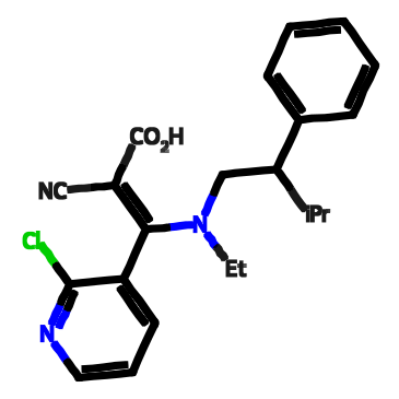 CCN(CC(c1ccccc1)C(C)C)C(=C(C#N)C(=O)O)c1cccnc1Cl